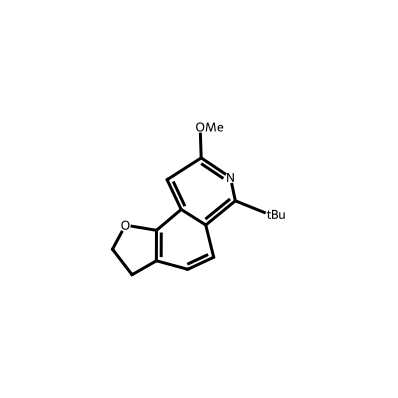 COc1cc2c3c(ccc2c(C(C)(C)C)n1)CCO3